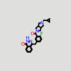 O=C(c1cc(Cc2n[nH]c(=O)c3ccccc23)ccc1F)N1CC2CN(CC3CC3)CC2C1